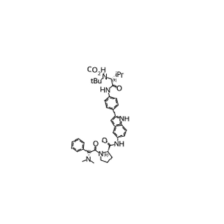 CC(C)[C@H](C(=O)Nc1ccc(-c2cc3cc(NC(=O)[C@H]4CCCN4C(=O)[C@@H](c4ccccc4)N(C)C)ccc3[nH]2)cc1)N(C(=O)O)C(C)(C)C